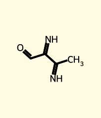 CC(=N)C(=N)C=O